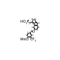 COc1ccc(COc2ccc3cc4n(c3c2)C(CC(=O)O)CC4)cc1C(F)(F)F